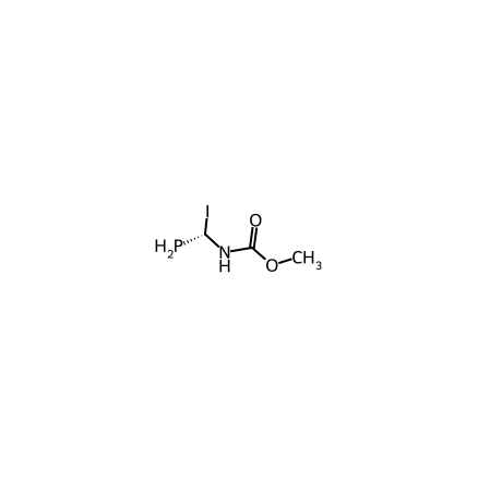 COC(=O)N[C@H](P)I